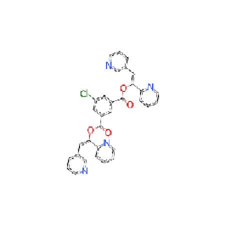 O=C(OC(=Cc1cccnc1)c1ccccn1)c1cc(Cl)cc(C(=O)OC(=Cc2cccnc2)c2ccccn2)c1